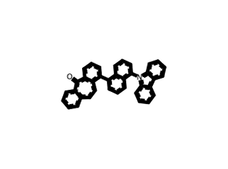 O=c1c2ccccc2ccc2c(-c3cccc4c(-n5c6ccccc6c6ccccc65)cccc34)cccc12